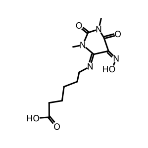 CN1C(=O)C(=NO)C(=NCCCCCC(=O)O)N(C)C1=O